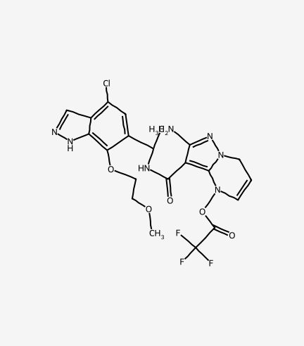 COCCOc1c(C(C)NC(=O)c2c(N)nn3c2N(OC(=O)C(F)(F)F)C=CC3)cc(Cl)c2cn[nH]c12